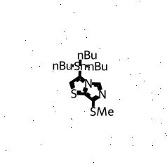 CCC[CH2][Sn]([CH2]CCC)([CH2]CCC)[c]1csc2c(SC)ncn12